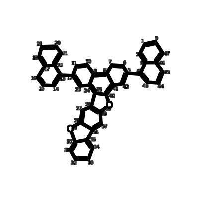 c1ccc2c(-c3ccc4c5ccc(-c6cccc7ccccc67)cc5c5c6cc7oc8ccccc8c7cc6oc5c4c3)cccc2c1